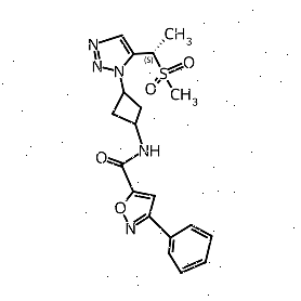 C[C@@H](c1cnnn1C1CC(NC(=O)c2cc(-c3ccccc3)no2)C1)S(C)(=O)=O